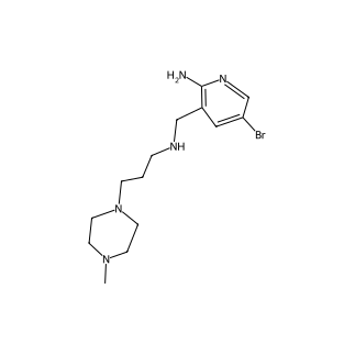 CN1CCN(CCCNCc2cc(Br)cnc2N)CC1